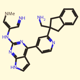 CN/C=C(\C=N)Nc1nc(-c2ccnc(C3(CN)Cc4ccccc4C3)c2)c2cc[nH]c2n1